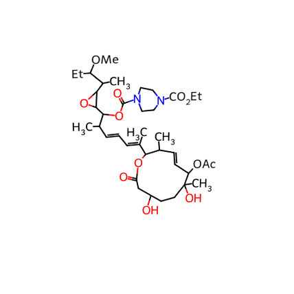 CCOC(=O)N1CCN(C(=O)OC(C(C)/C=C/C=C(\C)C2OC(=O)CC(O)CCC(C)(O)C(OC(C)=O)/C=C/C2C)C2OC2C(C)C(CC)OC)CC1